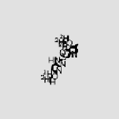 [2H]C([2H])([2H])Oc1ccc2[nH]c([S+]([O-])Cc3ncc(C)c(OC([2H])([2H])[2H])c3C)nc2n1